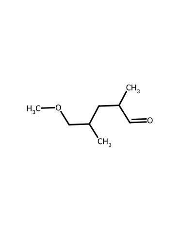 COCC(C)CC(C)C=O